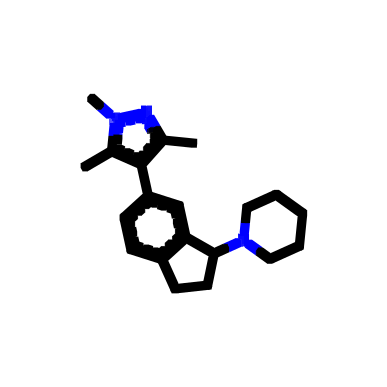 Cc1nn(C)c(C)c1-c1ccc2c(c1)C(N1CCCCC1)CC2